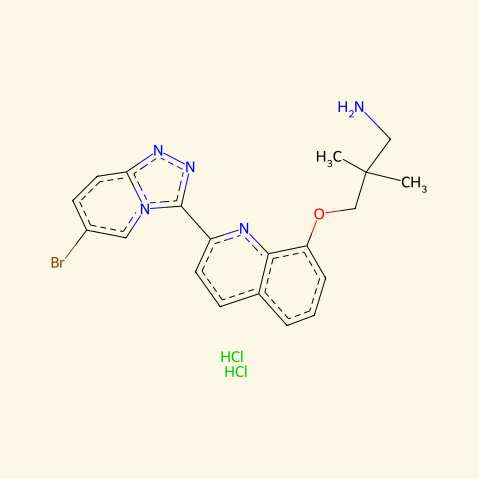 CC(C)(CN)COc1cccc2ccc(-c3nnc4ccc(Br)cn34)nc12.Cl.Cl